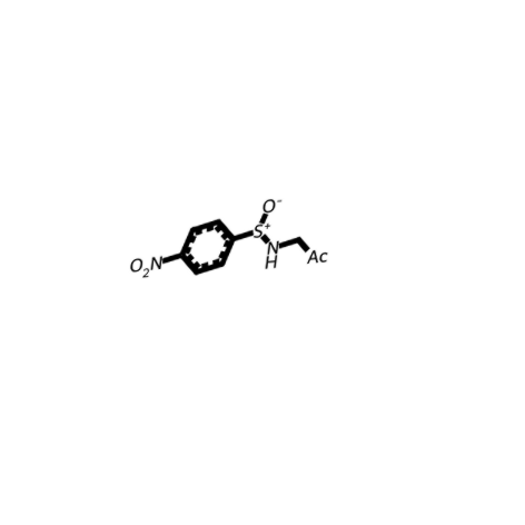 CC(=O)CN[S+]([O-])c1ccc([N+](=O)[O-])cc1